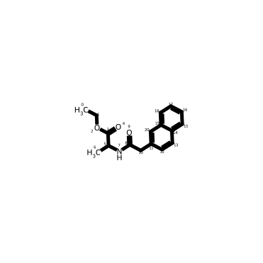 CCOC(=O)C(C)NC(=O)Cc1ccc2ccccc2c1